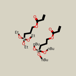 C=CC(=O)OCCC[Si](OCC)(OCC)OCC.C=CC(=O)OCCC[Si](OCCCC)(OCCCC)OCCCC